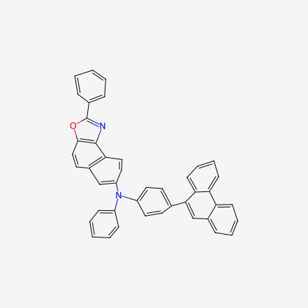 c1ccc(-c2nc3c(ccc4cc(N(c5ccccc5)c5ccc(-c6cc7ccccc7c7ccccc67)cc5)ccc43)o2)cc1